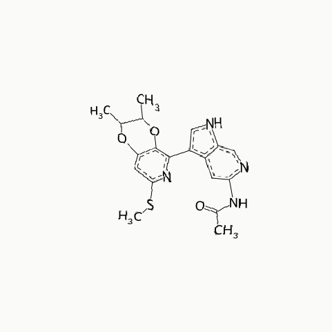 CSc1cc2c(c(-c3c[nH]c4cnc(NC(C)=O)cc34)n1)OC(C)C(C)O2